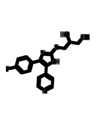 OCC(O)CSc1nc(-c2ccc(F)cc2)c(-c2ccncc2)[nH]1